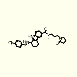 O=C(NCCCN1CCCC1=O)c1ccc2[nH]c3c(c2c1)CCCC3NCc1ccc(Cl)cc1